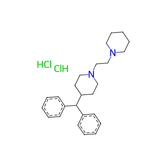 Cl.Cl.c1ccc(C(c2ccccc2)C2CCN(CCN3CCCCC3)CC2)cc1